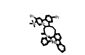 C=C1CC2C(CCc3ccc4c(oc5ccccc54)c3-c3n(C(C)C)c4ccccc4[n+]31)c1cc(C(C)C)ccc1-c1cc(C(C)C)c([Si](C)(C)C)c[n+]12